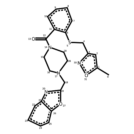 Cc1cc(CSc2ccccc2C(=O)N2CCN(Cc3nc4ccccc4o3)CC2)no1